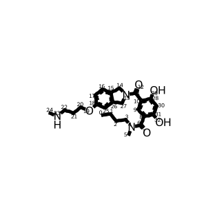 CCCCN(C)C(=O)c1cc(C(=O)N2Cc3ccc(OCCCNC)cc3C2)c(O)cc1O